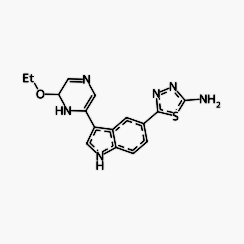 CCOC1C=NC=C(c2c[nH]c3ccc(-c4nnc(N)s4)cc23)N1